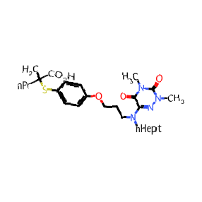 CCCCCCCN(CCCOc1ccc(SC(C)(CCC)C(=O)O)cc1)c1nn(C)c(=O)n(C)c1=O